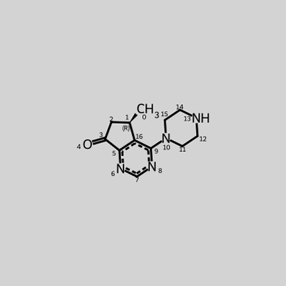 C[C@@H]1CC(=O)c2ncnc(N3CCNCC3)c21